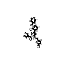 O=C(c1ccsc1)n1nc(-c2cccn(Cc3ccncc3)c2=O)cc1NCc1ccc(Cl)s1